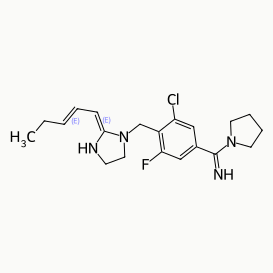 CC/C=C/C=C1\NCCN1Cc1c(F)cc(C(=N)N2CCCC2)cc1Cl